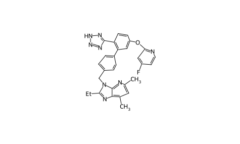 CCc1nc2c(C)cc(C)nc2n1Cc1ccc(-c2cc(Oc3cc(F)ccn3)ccc2-c2nn[nH]n2)cc1